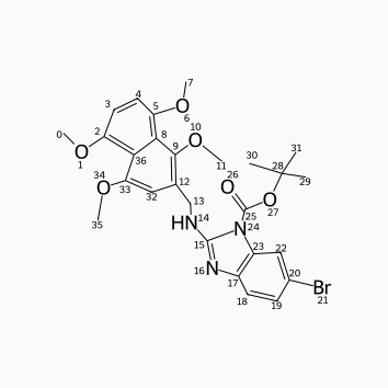 COc1ccc(OC)c2c(OC)c(CNc3nc4ccc(Br)cc4n3C(=O)OC(C)(C)C)cc(OC)c12